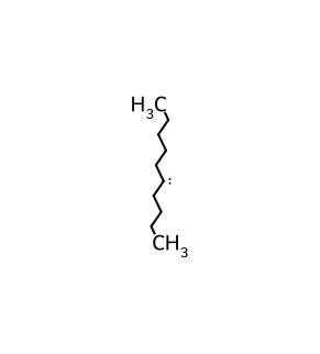 CCCC[C]CCCCC